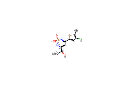 CCc1sc(C2=NS(=O)(=O)NC(C(=O)OC)=C2)cc1Br